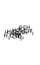 CC(C)C(NC(=O)O[Si](C)(C)C(C)(C)C)C(=O)O